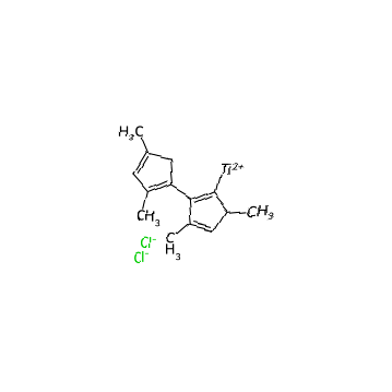 CC1=CC(C)=C(C2=[C]([Ti+2])C(C)C=C2C)C1.[Cl-].[Cl-]